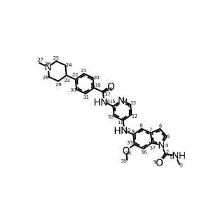 CNC(=O)n1ccc2cc(Nc3ccnc(NC(=O)c4ccc(C5CCN(C)CC5)cc4)c3)c(OC)cc21